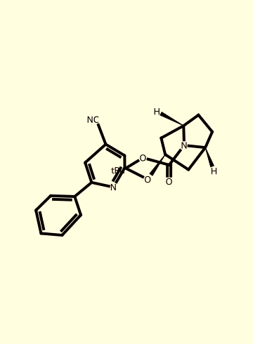 CC(C)(C)OC(=O)N1[C@@H]2CC[C@H]1C[C@H](Oc1cc(C#N)cc(-c3ccccc3)n1)C2